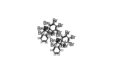 BrC1=C(Br)C(Br)C(Br)(C(Br)(c2ccccc2)C(Br)(Br)Br)C(Br)=C1Br.BrC1=C(Br)C(Br)C(Br)(C(Br)(c2ccccc2)C(Br)(Br)Br)C(Br)=C1Br